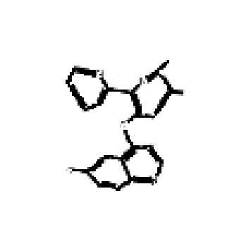 Cc1cc(Oc2ccnc3ccc(Cl)cc23)c(-c2ccccn2)nc1C